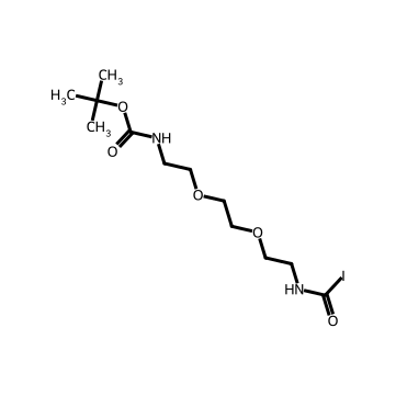 CC(C)(C)OC(=O)NCCOCCOCCNC(=O)I